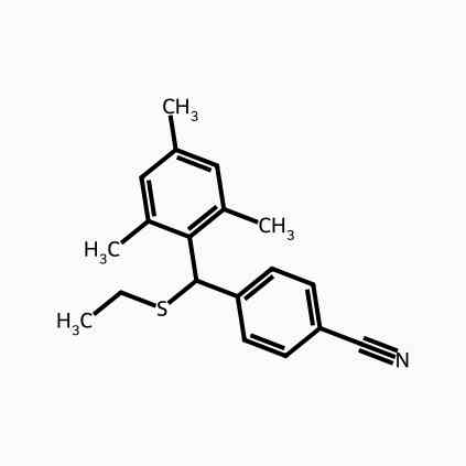 CCSC(c1ccc(C#N)cc1)c1c(C)cc(C)cc1C